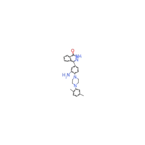 Cc1ccc(C)c(N2CCN(c3ccc(-c4n[nH]c(=O)c5ccccc45)cc3N)CC2)c1